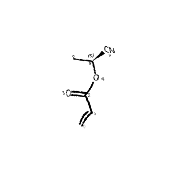 C=CC(=O)O[C@@H](C)C#N